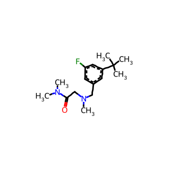 CN(CC(=O)N(C)C)Cc1cc(F)cc(C(C)(C)C)c1